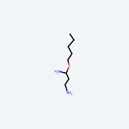 CCCCCOC(N)CCN